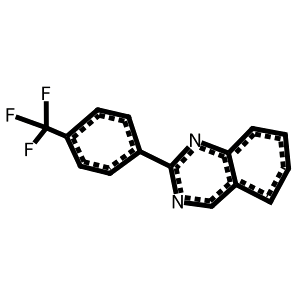 FC(F)(F)c1ccc(-c2ncc3ccccc3n2)cc1